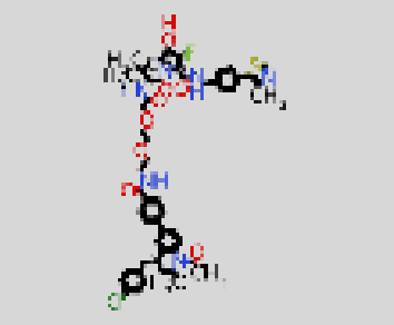 CC(=O)N1c2ccc(-c3ccc(C(=O)NCCOCCOCC(=O)N[C@H](C(=O)N4C[C@H](O)[C@H](F)[C@H]4C(=O)NCc4ccc(-c5scnc5C)cc4)C(C)(C)C)cc3)cc2[C@H](Cc2ccc(Cl)cc2)C[C@@H]1C